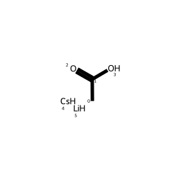 CC(=O)O.[CsH].[LiH]